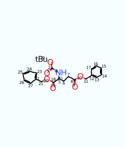 CC(C)(C)OC(=O)N[C@@H](CCC(=O)OCc1ccccc1)C(=O)OCc1ccccc1